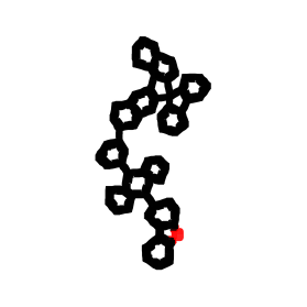 c1cc(-c2ccc3cc4c(cc3c2)C2(c3ccccc3-c3ccccc32)c2ccc3ccccc3c2-4)cc(-c2c3ccccc3c(-c3ccc4oc5ccccc5c4c3)c3ccccc23)c1